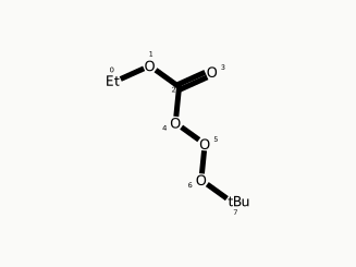 CCOC(=O)OOOC(C)(C)C